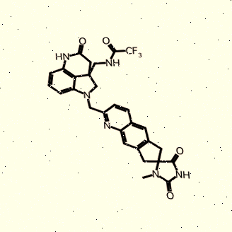 CN1C(=O)NC(=O)C12Cc1cc3ccc(CN4CC5(CNC(=O)C(F)(F)F)CC(=O)Nc6cccc4c65)nc3cc1C2